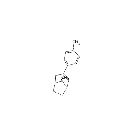 Cc1ccc(C2=CC3CCC(C2)N3C)cc1